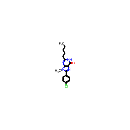 Cn1c(-c2ccc(Cl)cc2)nc2c(=O)[nH]c(CCCCC(F)(F)F)nc21